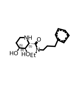 CCN(CCCc1ccccc1)C(=O)[C@H]1NCC[C@H](O)[C@@H]1O